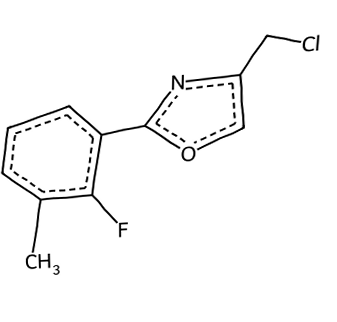 Cc1cccc(-c2nc(CCl)co2)c1F